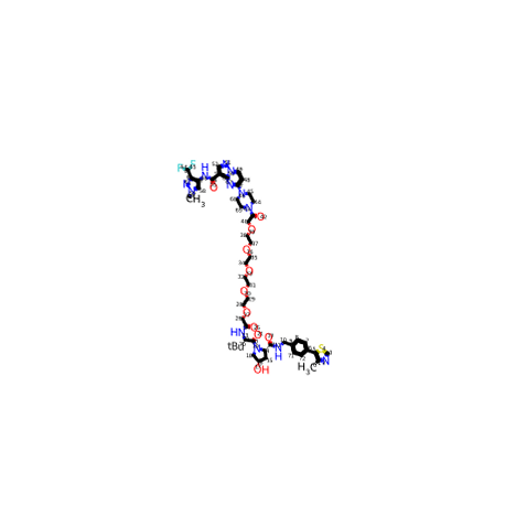 Cc1ncsc1-c1ccc(CNC(=O)[C@@H]2C[C@@H](O)CN2C(=O)[C@@H](NC(=O)COCCOCCOCCOCCOCC(=O)N2CCN(c3ccn4ncc(C(=O)Nc5cn(C)nc5C(F)F)c4n3)CC2)C(C)(C)C)cc1